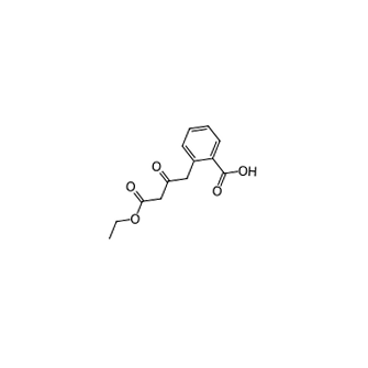 CCOC(=O)CC(=O)Cc1ccccc1C(=O)O